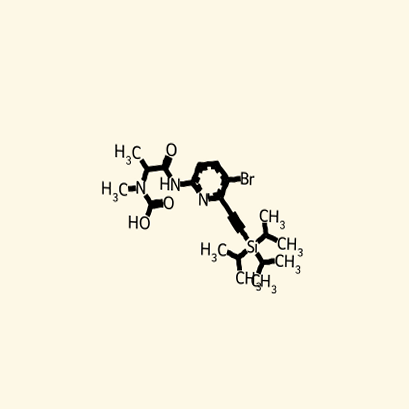 CC(C(=O)Nc1ccc(Br)c(C#C[Si](C(C)C)(C(C)C)C(C)C)n1)N(C)C(=O)O